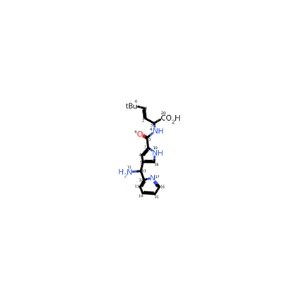 CC(C)(C)C=CC(NC(=O)c1cc(C(N)c2ccccn2)c[nH]1)C(=O)O